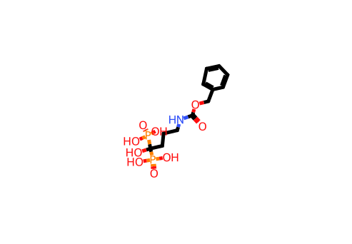 O=C(NCCCC(O)(P(=O)(O)O)P(=O)(O)O)OCc1ccccc1